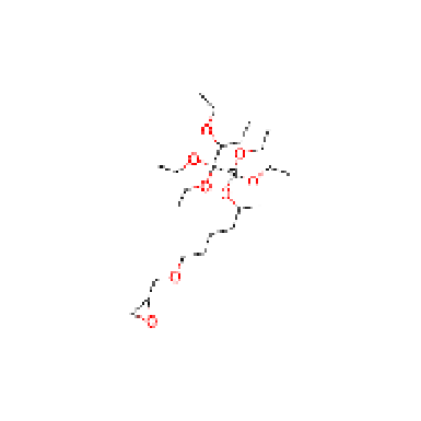 CCOC(CC)C(OCC)(OCC)[Si](OCC)(OCC)OC(C)CCCCOCC1CO1